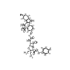 CC1(C)SC2C(NC(=O)COc3ccc4c(c3)S(=O)(=O)Nc3c-4[nH]c4ccc(F)cc34)C(=O)N2C1C(=O)OCc1ccc(F)cc1